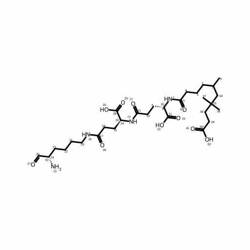 CC(CCCC(=O)N[C@@H](CCC(=O)N[C@@H](CCC(=O)NCCCC[C@H](N)C=O)C(=O)O)C(=O)O)CC(C)(C)CCC(=O)O